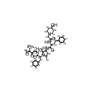 CC(C)C[C@H](NC(=O)[C@H](Cc1ccccc1)N1C(=O)[C@@H](NC(=O)[C@H](CCc2ccccc2)NC(=O)CN2CCC(O)CC2)CC1C)C(=O)[C@@]1(C)CO1